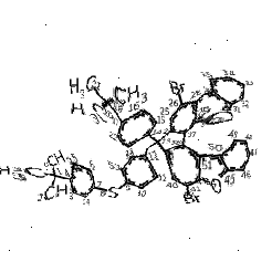 CC(C)(C)c1ccc(Sc2ccc(C3(c4ccc(C(C)(C)C)cc4)c4cc(Br)c5c(oc6ccccc65)c4-c4c3cc(Br)c3oc5ccccc5c43)cc2)cc1